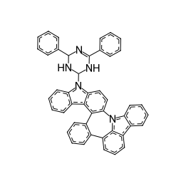 c1ccc(C2=NC(c3ccccc3)NC(n3c4ccccc4c4c5c(ccc43)-n3c4ccccc4c4cccc(c43)-c3ccccc3-5)N2)cc1